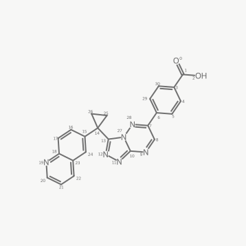 O=C(O)c1ccc(-c2cnc3nnc(C4(c5ccc6ncccc6c5)CC4)n3n2)cc1